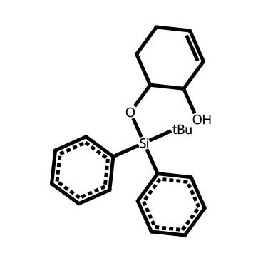 CC(C)(C)[Si](OC1CCC=CC1O)(c1ccccc1)c1ccccc1